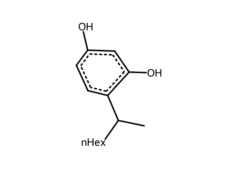 CCCCCCC(C)c1ccc(O)cc1O